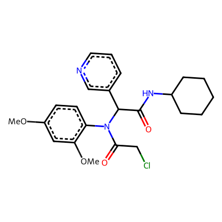 COc1ccc(N(C(=O)CCl)C(C(=O)NC2CCCCC2)c2cccnc2)c(OC)c1